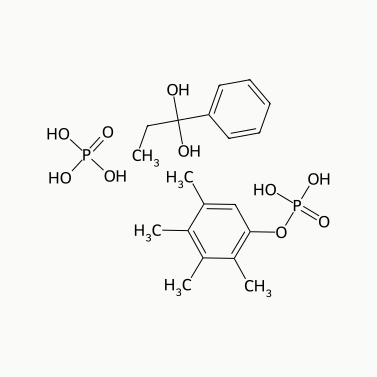 CCC(O)(O)c1ccccc1.Cc1cc(OP(=O)(O)O)c(C)c(C)c1C.O=P(O)(O)O